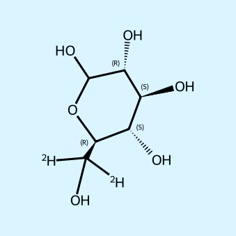 [2H]C([2H])(O)[C@H]1OC(O)[C@H](O)[C@@H](O)[C@@H]1O